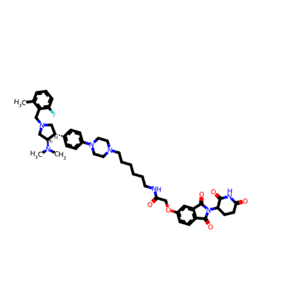 Cc1cccc(F)c1CN1C[C@H](c2ccc(N3CCN(CCCCCCNC(=O)COc4ccc5c(c4)C(=O)N(C4CCC(=O)NC4=O)C5=O)CC3)cc2)[C@@H](N(C)C)C1